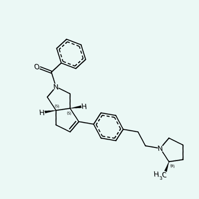 C[C@@H]1CCCN1CCc1ccc(C2=CC[C@@H]3CN(C(=O)c4ccccc4)C[C@H]23)cc1